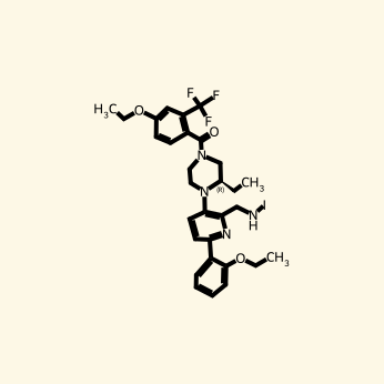 CCOc1ccc(C(=O)N2CCN(c3ccc(-c4ccccc4OCC)nc3CNI)[C@H](CC)C2)c(C(F)(F)F)c1